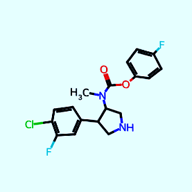 CN(C(=O)Oc1ccc(F)cc1)C1CNCC1c1ccc(Cl)c(F)c1